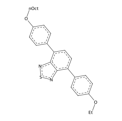 CCCCCCCCOc1ccc(-c2ccc(-c3ccc(OCC)cc3)c3nsnc23)cc1